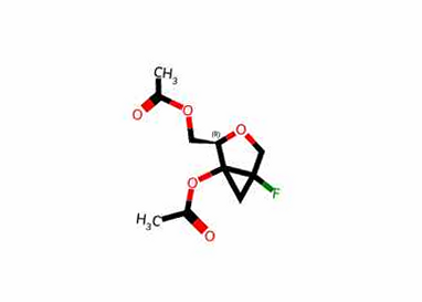 CC(=O)OC[C@H]1OCC2(F)CC12OC(C)=O